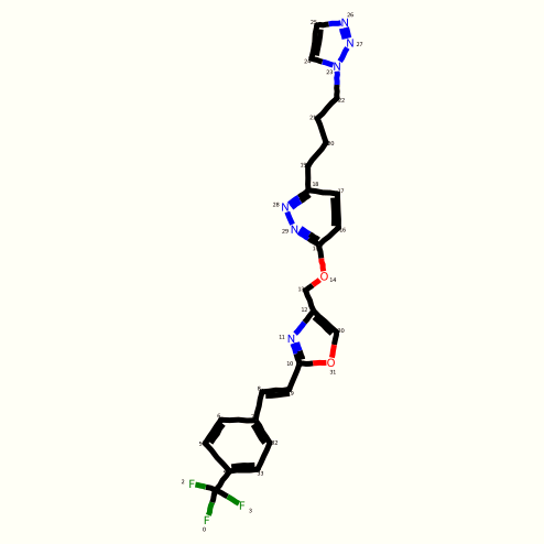 FC(F)(F)c1ccc(/C=C/c2nc(COc3ccc(CCCCn4ccnn4)nn3)co2)cc1